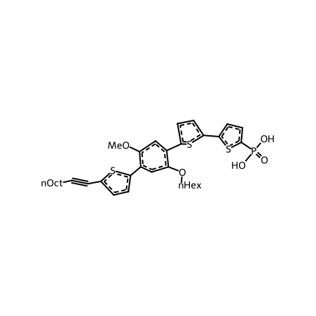 CCCCCCCCC#Cc1ccc(-c2cc(OCCCCCC)c(-c3ccc(-c4ccc(P(=O)(O)O)s4)s3)cc2OC)s1